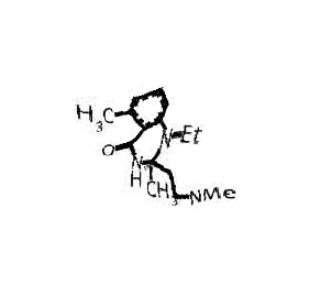 CCN1c2cccc(C)c2C(=O)N[C@@]1(C)CCNC